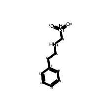 O=[SH](=O)CNCCc1cc[c]cc1